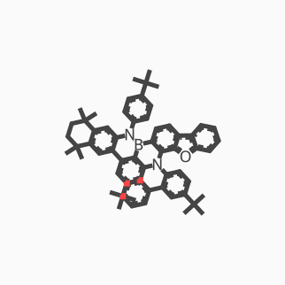 CC(C)(C)c1ccc(N2B3c4ccc5c(oc6ccccc65)c4N(c4ccc(C(C)(C)C)cc4-c4ccccc4)c4cc(C(C)(C)C)cc(c43)-c3cc4c(cc32)C(C)(C)CCC4(C)C)cc1